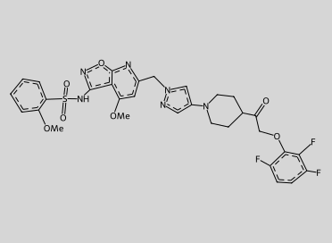 COc1ccccc1S(=O)(=O)Nc1noc2nc(Cn3cc(N4CCC(C(=O)COc5c(F)ccc(F)c5F)CC4)cn3)cc(OC)c12